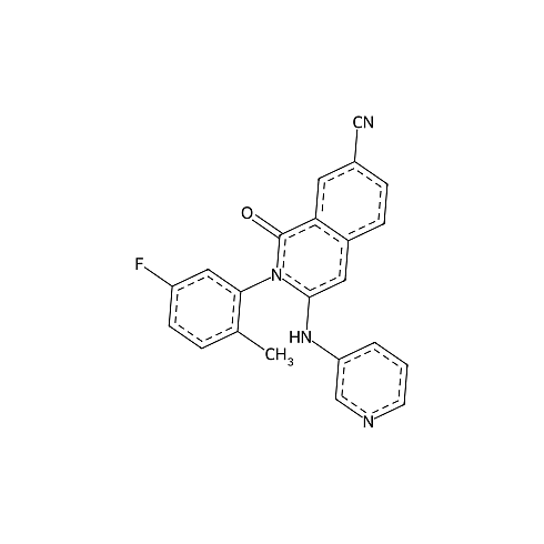 Cc1ccc(F)cc1-n1c(Nc2cccnc2)cc2ccc(C#N)cc2c1=O